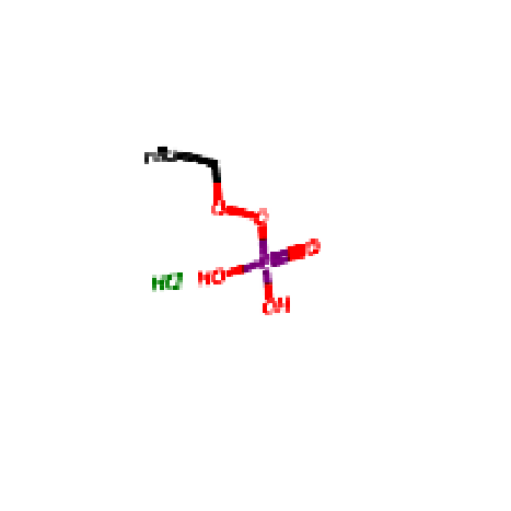 CCCCCOOP(=O)(O)O.Cl